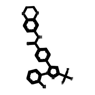 O=C(Nc1ccc2c(c1)OCCO2)c1ccc(-c2cc(C(F)(F)F)nn2-c2ccccc2Cl)cc1